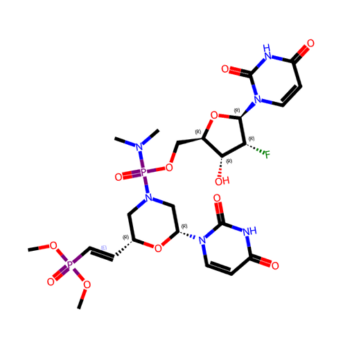 COP(=O)(/C=C/[C@@H]1CN(P(=O)(OC[C@H]2O[C@@H](n3ccc(=O)[nH]c3=O)[C@H](F)[C@@H]2O)N(C)C)C[C@H](n2ccc(=O)[nH]c2=O)O1)OC